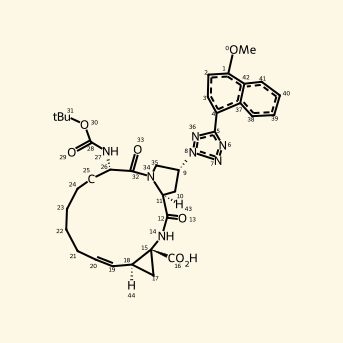 COc1ccc(-c2nnn([C@@H]3C[C@H]4C(=O)N[C@]5(C(=O)O)C[C@H]5/C=C\CCCCC[C@H](NC(=O)OC(C)(C)C)C(=O)N4C3)n2)c2ccccc12